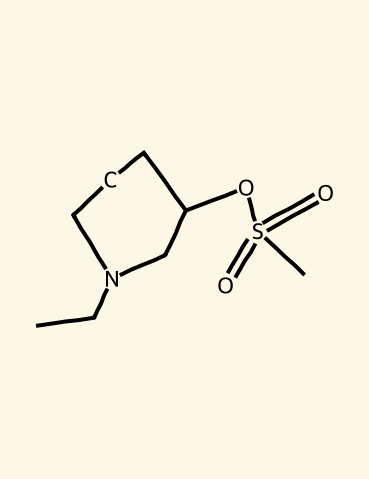 CCN1CCCC(OS(C)(=O)=O)C1